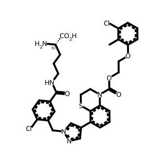 Cc1c(Cl)cccc1OCCOC(=O)N1CCSc2c(-c3cnn(Cc4cc(C(=O)NCCC[C@H](N)C(=O)O)ccc4Cl)c3)cccc21